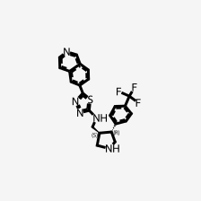 FC(F)(F)c1ccc([C@@H]2CNC[C@H]2CNc2nnc(-c3ccc4cnccc4c3)s2)cc1